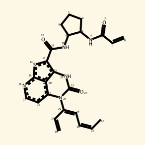 C=CC(=O)NC1CCCC1NC(=O)c1sc2nccc3c2c1NC(=O)N3/C(C=C)=C/C=C\C